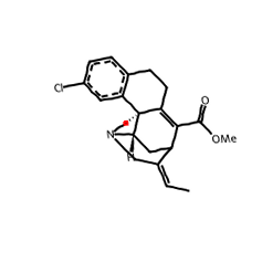 C/C=C1/CN2CC[C@]34C(=C(C(=O)OC)C1C[C@H]23)CCc1ccc(Cl)cc14